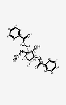 C[C@@H]1O[C@@](COC(=O)c2ccccc2)(N=[N+]=[N-])[C@@H](O)[C@H]1OC(=O)c1ccccc1